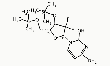 C[Si](C)(C)OC[C@H]1O[C@@H](N2C=CC(N)=NC2O)C(F)(F)C1O[Si](C)(C)C